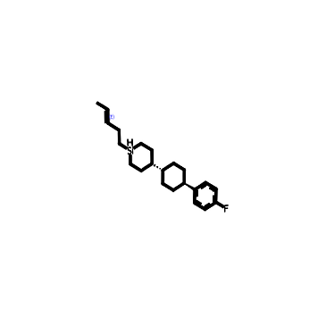 C/C=C/CC[SiH]1CCC([C@H]2CC[C@H](c3ccc(F)cc3)CC2)CC1